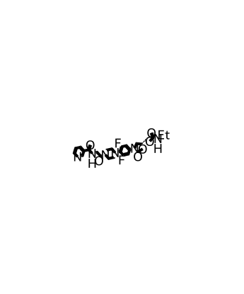 CCNC(=O)OC[C@H]1CN(c2cc(F)c(N3CCN(C(=O)CNC(=O)c4cccnc4)CC3)c(F)c2)C(=O)O1